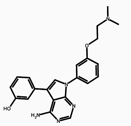 CN(C)CCOc1cccc(-n2cc(-c3cccc(O)c3)c3c(N)ncnc32)c1